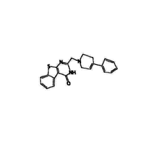 O=c1[nH]c(CN2CC=C(c3ccccc3)CC2)nc2sc3ccccc3c12